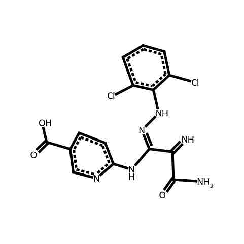 N=C(C(N)=O)/C(=N\Nc1c(Cl)cccc1Cl)Nc1ccc(C(=O)O)cn1